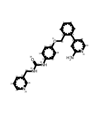 Nc1cc(-c2ccccc2COc2ccc(NC(=O)NCc3cccnc3)cc2)ccn1